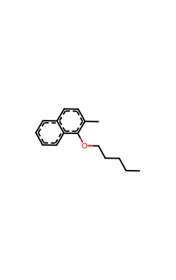 CCCCCOc1c(C)ccc2ccccc12